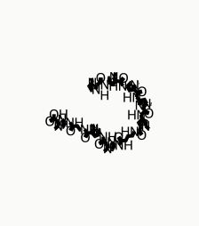 Cn1cc(NC(=O)c2nc(NC(=O)c3cc(NC(=O)c4cc(NC(=O)c5nccn5C)cn4C)cn3C)cn2C)cc1C(=O)NCCCC(=O)Nc1cn(C)c(C(=O)Nc2cc(C(=O)NCCC(=O)Nc3cn(C)c(C(=O)O)n3)n(C)c2)n1